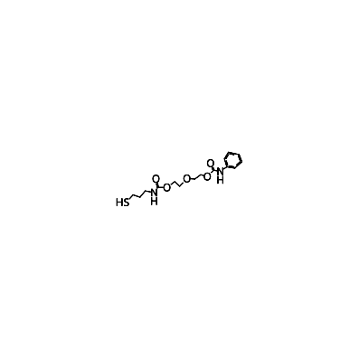 O=C(NCCCS)OCCOCCOC(=O)Nc1ccccc1